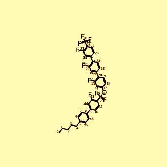 CCCCCc1ccc(-c2ccc(C(F)(F)Oc3ccc(-c4ccc(-c5ccc(C(F)(F)F)c(F)c5)c(F)c4)c(F)c3)c(F)c2)cc1